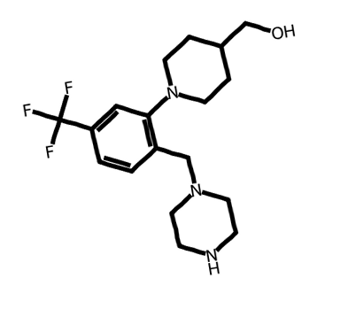 OCC1CCN(c2cc(C(F)(F)F)ccc2CN2CCNCC2)CC1